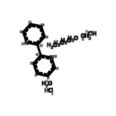 Cl.Cl.O.O.O.O.O.O.c1ccc(-c2ccccn2)nc1